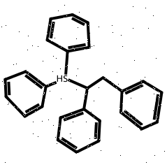 c1ccc(CC(c2ccccc2)[SH](c2ccccc2)c2ccccc2)cc1